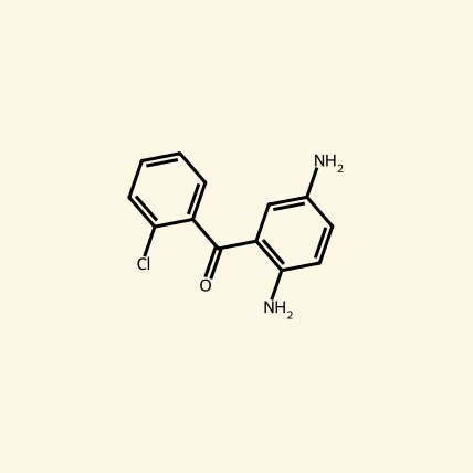 Nc1ccc(N)c(C(=O)c2ccccc2Cl)c1